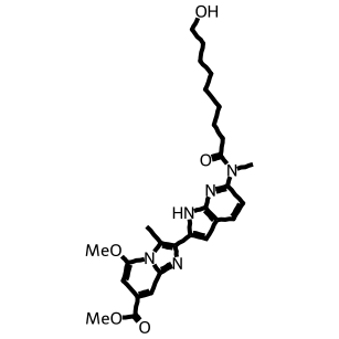 COC(=O)c1cc(OC)n2c(C)c(-c3cc4ccc(N(C)C(=O)CCCCCCCCO)nc4[nH]3)nc2c1